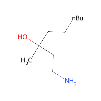 CCCCCCC(C)(O)CCN